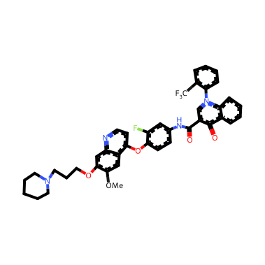 COc1cc2c(Oc3ccc(NC(=O)c4cn(-c5ccccc5C(F)(F)F)c5ccccc5c4=O)cc3F)ccnc2cc1OCCCN1CCCCC1